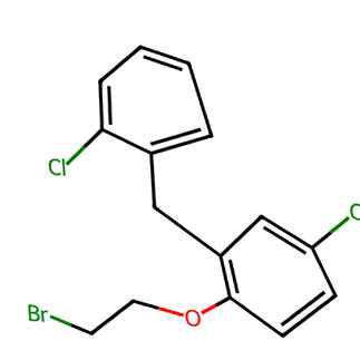 Clc1ccc(OCCBr)c(Cc2ccccc2Cl)c1